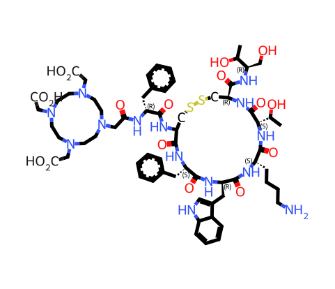 CC(O)[C@@H]1NC(=O)[C@H](CCCCN)NC(=O)[C@@H](CC2=CNC3C=CC=CC23)NC(=O)[C@H](Cc2ccccc2)NC(=O)C(NC(=O)[C@@H](Cc2ccccc2)NC(=O)CN2CCN(CC(=O)O)CCN(CC(=O)O)CCN(CC(=O)O)CC2)CSSC[C@@H](C(=O)N[C@H](CO)C(C)O)NC1=O